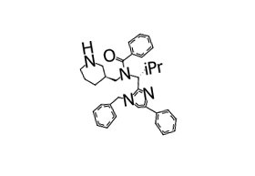 CC(C)[C@H](c1nc(-c2ccccc2)cn1Cc1ccccc1)N(C[C@H]1CCCNC1)C(=O)c1ccccc1